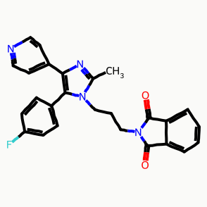 Cc1nc(-c2ccncc2)c(-c2ccc(F)cc2)n1CCCN1C(=O)c2ccccc2C1=O